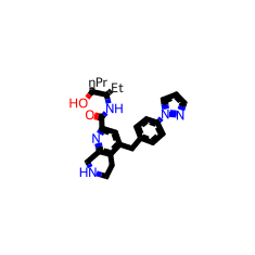 CCCC(O)C(CC)NC(=O)c1cc(Cc2ccc(-n3cccn3)cc2)c2c(n1)CNCC2